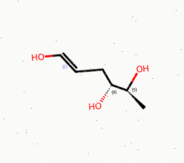 C[C@H](O)[C@H](O)C/C=C/O